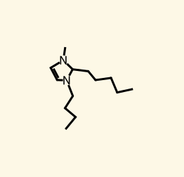 CCCCCC1N(C)C=CN1CCCC